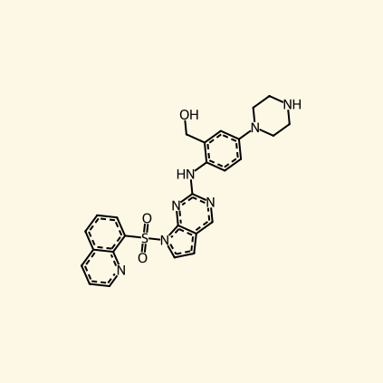 O=S(=O)(c1cccc2cccnc12)n1ccc2cnc(Nc3ccc(N4CCNCC4)cc3CO)nc21